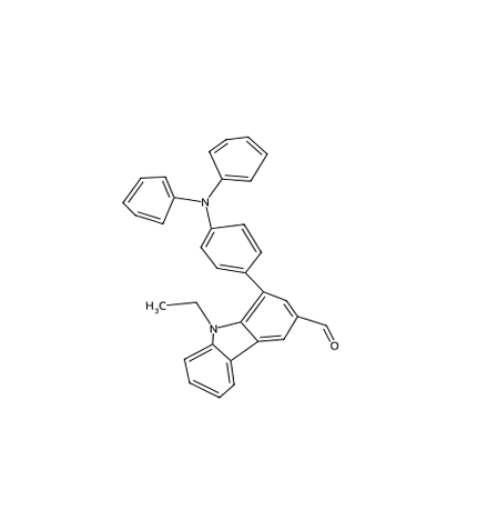 CCn1c2ccccc2c2cc(C=O)cc(-c3ccc(N(c4ccccc4)c4ccccc4)cc3)c21